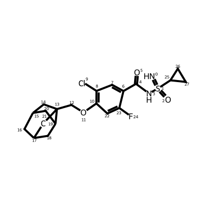 N=S(=O)(NC(=O)c1cc(Cl)c(OCC23CC4CC(CC2C4)C3)cc1F)C1CC1